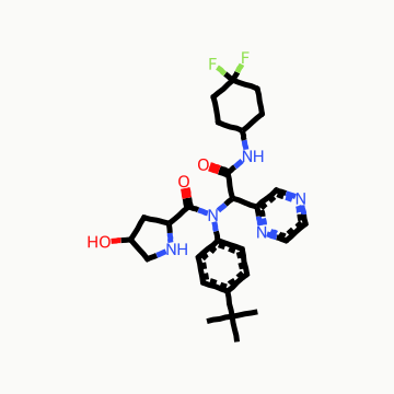 CC(C)(C)c1ccc(N(C(=O)C2CC(O)CN2)C(C(=O)NC2CCC(F)(F)CC2)c2cnccn2)cc1